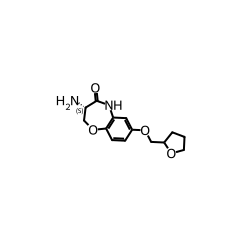 N[C@H]1COc2ccc(OCC3CCCO3)cc2NC1=O